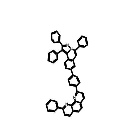 c1ccc(-c2ccc3ccc4ccc(-c5ccc(-c6ccc7c(c6)cc(-c6ccccc6)n6nc(-c8ccccc8)c(-c8ccccc8)c76)cc5)nc4c3n2)cc1